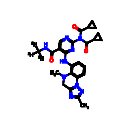 [2H]C([2H])([2H])NC(=O)c1cnc(N(C(=O)C2CC2)C(=O)C2CC2)nc1Nc1cccc2c1N(C)Cc1nc(C)nn1-2